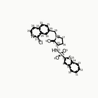 O=C1[C@@H](NS(=O)(=O)c2cc3ccccc3s2)CCN1Cc1ccc2ccnc(Cl)c2c1